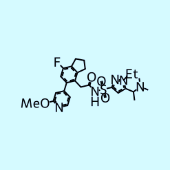 CCn1nc(S(=O)(=O)NC(=O)Cc2c(-c3ccnc(OC)c3)cc(F)c3c2CCC3)cc1C(C)N(C)C